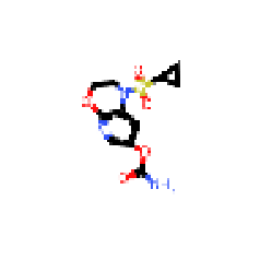 NC(=O)Oc1cnc2c(c1)N(S(=O)(=O)C1CC1)CCO2